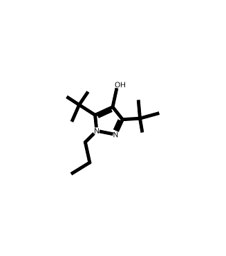 CCCn1nc(C(C)(C)C)c(O)c1C(C)(C)C